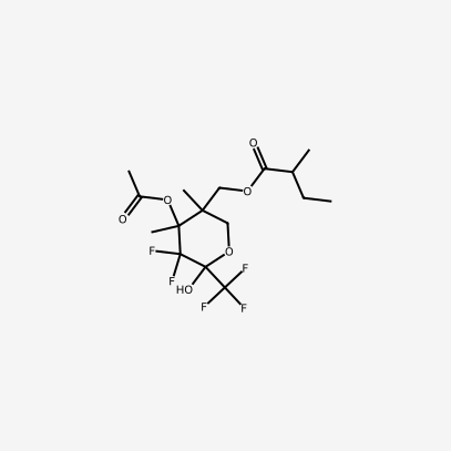 CCC(C)C(=O)OCC1(C)COC(O)(C(F)(F)F)C(F)(F)C1(C)OC(C)=O